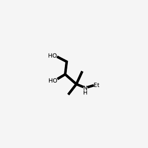 CCNC(C)(C)C(O)CO